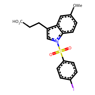 COc1ccc2c(c1)c(CCC(=O)O)cn2S(=O)(=O)c1ccc(I)cc1